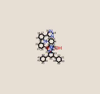 O=C1c2c(cccc2-n2c3c(-c4cncnc4)cccc3c3cccc(-c4cncnc4)c32)C(O)N1c1cc(-c2ccccc2)cc(-c2ccccc2)c1